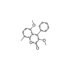 COc1c(-c2ccccc2)c2c(OC)ccc(C)c2oc1=O